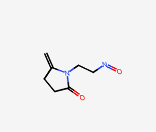 C=C1CCC(=O)N1CCN=O